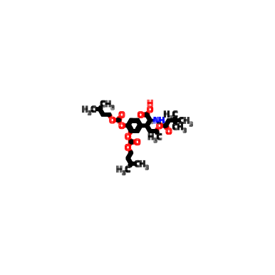 CC(C)CCOC(=O)Oc1ccc(C(CC(C)OC(=O)CC(C)(C)C)[C@H](N)C(=O)O)cc1OC(=O)OCCC(C)C